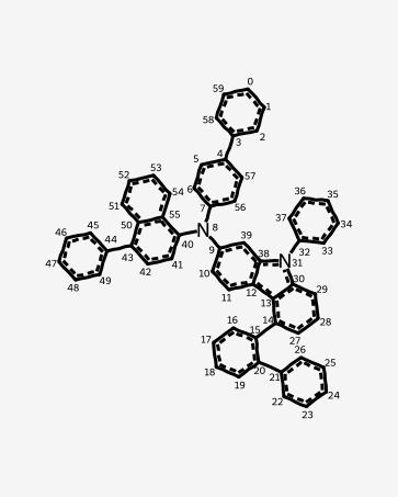 c1ccc(-c2ccc(N(c3ccc4c5c(-c6ccccc6-c6ccccc6)cccc5n(-c5ccccc5)c4c3)c3ccc(-c4ccccc4)c4ccccc34)cc2)cc1